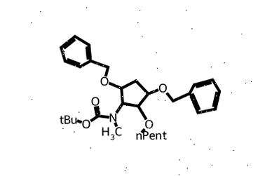 CCCCCOC1C(OCc2ccccc2)CC(OCc2ccccc2)C1N(C)C(=O)OC(C)(C)C